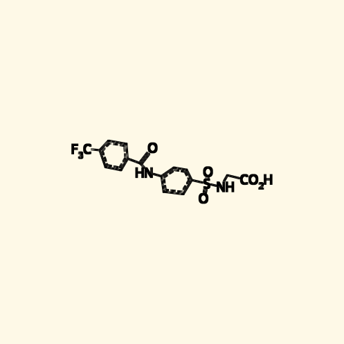 O=C(O)CNS(=O)(=O)c1ccc(NC(=O)c2ccc(C(F)(F)F)cc2)cc1